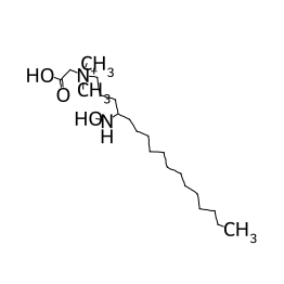 CCCCCCCCCCCCCC(CCC[N+](C)(C)CC(=O)O)NO